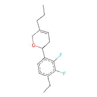 CCCC1=CCC(c2ccc(CC)c(F)c2F)OC1